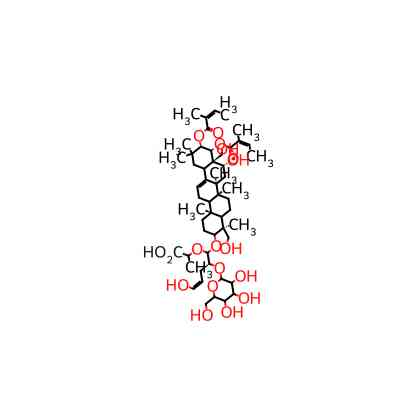 C/C=C(/C)C(=O)O[C@H]1[C@H](OC(=O)/C(C)=C\C)[C@@]2(CO)C(CC1(C)C)C1=CCC3[C@@]4(C)CC[C@H](OC(OC(C)C(=O)O)[C@H](C/C=C\O)OC5OC(CO)C(O)C(O)C5O)[C@](C)(CO)C4CC[C@@]3(C)[C@]1(C)C[C@H]2O